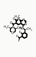 C[C@@H]1COC[C@H](C)N1C(=O)c1cc2c(N[C@H](C)c3cccc(C(F)F)c3F)ncnc2n(C)c1=O